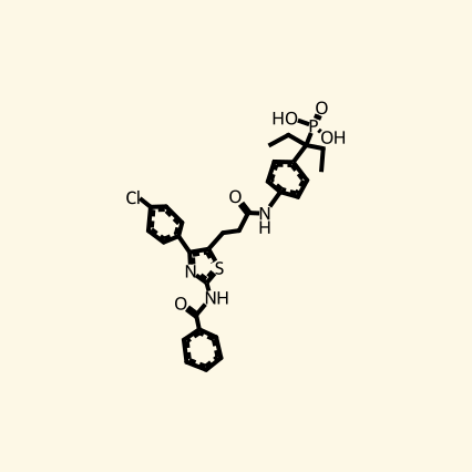 CCC(CC)(c1ccc(NC(=O)CCc2sc(NC(=O)c3ccccc3)nc2-c2ccc(Cl)cc2)cc1)P(=O)(O)O